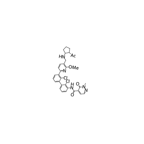 COc1nc(-c2cccc(-c3cccc(NC(=O)c4ccnn(C)c4=O)c3Cl)c2Cl)ccc1CNC1CCCC1C(C)=O